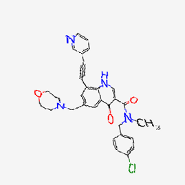 CN(Cc1ccc(Cl)cc1)C(=O)c1c[nH]c2c(C#Cc3cccnc3)cc(CN3CCOCC3)cc2c1=O